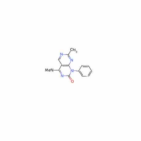 CNc1nc(=O)n(-c2ccccc2)c2nc(C)ncc12